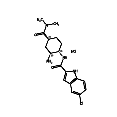 CN(C)C(=O)[C@H]1CC[C@H](NC(=O)c2cc3cc(Cl)ccc3[nH]2)[C@H](N)C1.Cl